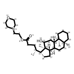 C[C@H](CCC(=O)OCCN1CCOCC1)[C@H]1CC[C@H]2[C@@H]3CC[C@@H]4CCCC[C@]4(C)[C@H]3C[C@H](O)[C@]12C